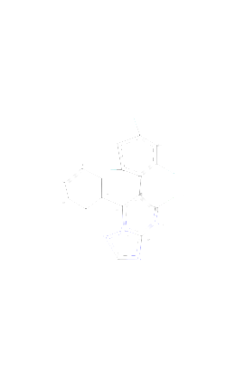 Fc1cc(F)c(-c2c(Cl)nc3ncnn3c2C2CC=CCC2)c(F)c1